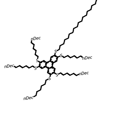 CCCCCCCCCCCCCCCCSc1cc2c3cc(SCCCCCCCCCCCCCCCC)c(SCCCCCCCCCCCCCCCC)cc3c3cc(SCCCCCCCCCCCCCCCCCCO)c(SCCCCCCCCCCCCCCCC)cc3c2cc1SCCCCCCCCCCCCCCCC